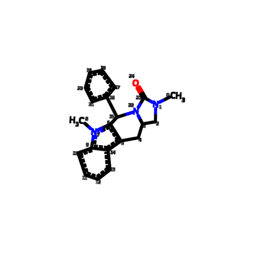 CN1CC2Cc3c(n(C)c4ccccc34)C(c3ccccc3)N2C1=O